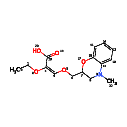 CCO/C(=C/OCC1CN(C)c2ccccc2O1)C(=O)O